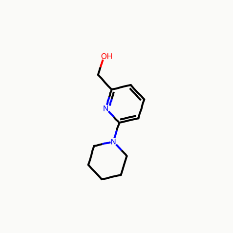 OCc1cccc(N2CCCCC2)n1